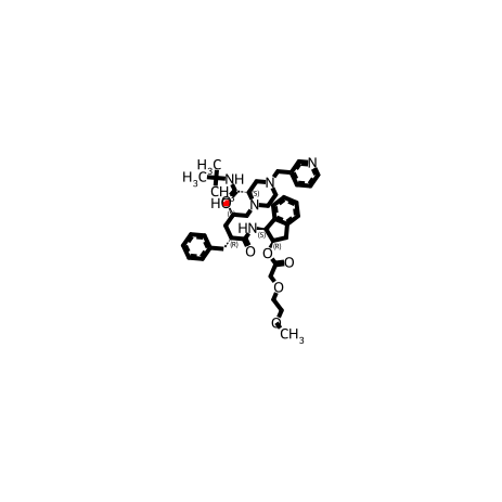 COCCOCC(=O)O[C@@H]1Cc2ccccc2[C@@H]1NC(=O)[C@H](Cc1ccccc1)C[C@H](O)CN1CCN(Cc2cccnc2)C[C@H]1C(=O)NC(C)(C)C